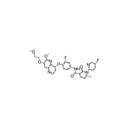 COCCOc1cc2nccc(Oc3ccc(NC(=O)c4ccc(C)n(-c5ccc(F)cn5)c4=O)cc3F)c2nc1OC